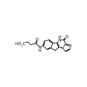 O=C(O)CCC(=O)Nc1ccc2c(c1)Cc1c-2[nH]c(=O)c2nccn12